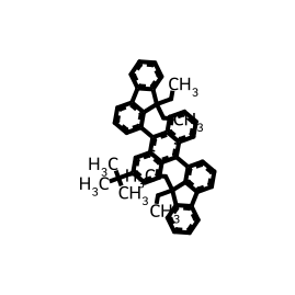 CCC1(CC)c2ccccc2-c2cccc(-c3c4ccccc4c(-c4cccc5c4C(CC)(CC)c4ccccc4-5)c4cc(C(C)(C)C)ccc34)c21